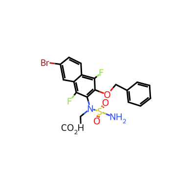 NS(=O)(=O)N(CC(=O)O)c1c(OCc2ccccc2)c(F)c2ccc(Br)cc2c1F